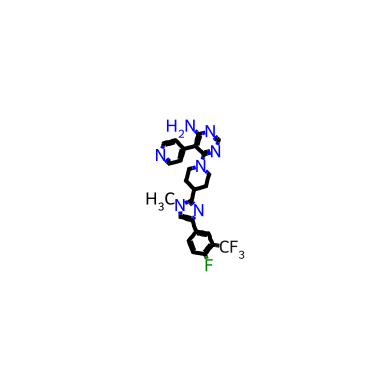 Cn1cc(-c2ccc(F)c(C(F)(F)F)c2)nc1C1CCN(c2ncnc(N)c2-c2ccncc2)CC1